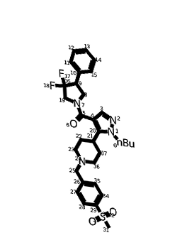 CCCCn1ncc(C(=O)N2CC(c3ccccc3)C(F)(F)C2)c1C1CCN(Cc2ccc(S(C)(=O)=O)cc2)CC1